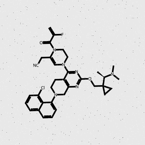 C=C(F)C(=O)N1CCN(c2nc(OCC3([C@@H](C)N(C)C)CC3)nc3c2CCN(c2cccc4cccc(Cl)c24)C3)C=C1CC#N